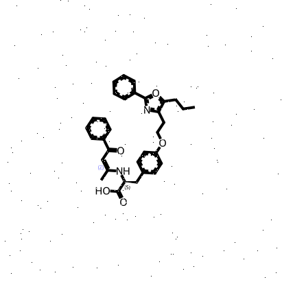 CCCc1oc(-c2ccccc2)nc1CCOc1ccc(C[C@H](N/C(C)=C\C(=O)c2ccccc2)C(=O)O)cc1